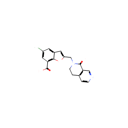 O=C(O)c1cc(Cl)cc2cc(CN3CCc4ccncc4C3=O)oc12